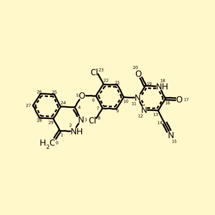 C=C1NN=C(Oc2c(Cl)cc(-n3nc(C#N)c(=O)[nH]c3=O)cc2Cl)c2ccccc21